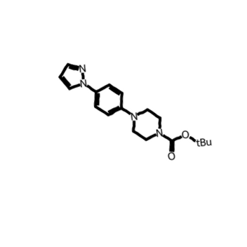 CC(C)(C)OC(=O)N1CCN(c2ccc(-n3cccn3)cc2)CC1